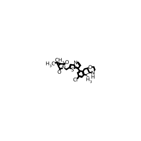 Cc1cc(Cl)cc(-c2ccnc3cc(CN4C(=O)C5C(C4=O)C5(C)C)sc23)c1CC1CNCCO1